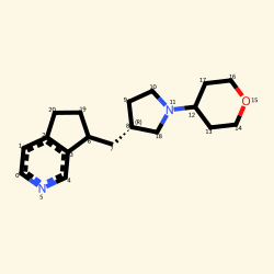 c1cc2c(cn1)C(C[C@@H]1CCN(C3CCOCC3)C1)CC2